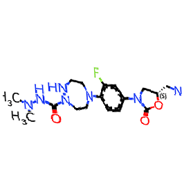 CN(C)NC(=O)N1CCN(c2ccc(N3C[C@H](CN)OC3=O)cc2F)CCN1